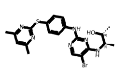 Cc1cc(C)nc(Sc2ccc(Nc3ncc(Br)c(N[C@H](C)[C@@H](C)O)n3)cc2)n1